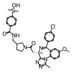 COc1ccc2c(c1)C(c1ccc(Cl)cc1)=N[C@@H](CC(=O)N1CCC(CNC(=O)c3ccc([Si](C)(C)O)cc3)C1)c1nnc(C)n1-2